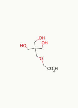 O=C(O)COCC(CO)(CO)CO